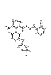 CN(CC1CCN(OC(=O)OC(C)(C)C)CC1)c1cc(NCCOc2ccccc2Cl)ncn1